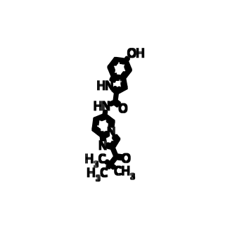 CC(C)(C)C(=O)c1cn2cc(NC(=O)c3cc4cc(O)ccc4[nH]3)ccc2n1